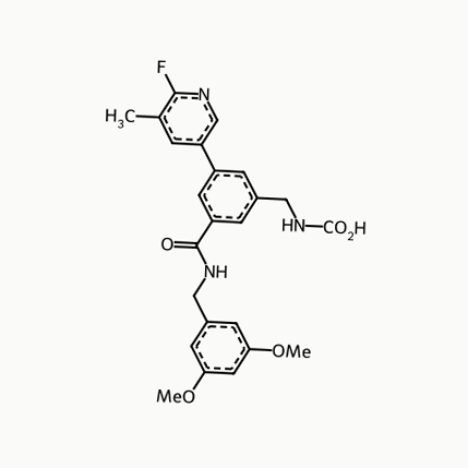 COc1cc(CNC(=O)c2cc(CNC(=O)O)cc(-c3cnc(F)c(C)c3)c2)cc(OC)c1